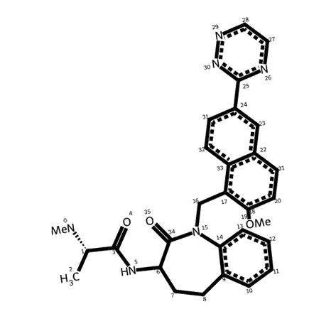 CN[C@@H](C)C(=O)NC1CCc2ccccc2N(Cc2c(OC)ccc3cc(-c4nccnn4)ccc23)C1=O